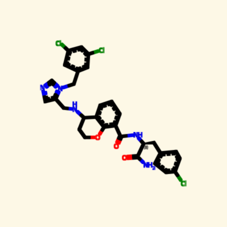 NC(=O)[C@H](Cc1ccc(Cl)cc1)NC(=O)c1cccc2c1OCCC2NCc1cncn1Cc1cc(Cl)cc(Cl)c1